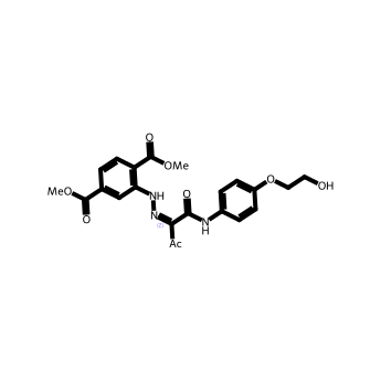 COC(=O)c1ccc(C(=O)OC)c(N/N=C(/C(C)=O)C(=O)Nc2ccc(OCCO)cc2)c1